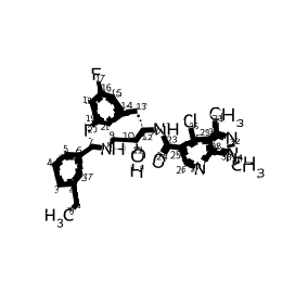 CCc1cccc(CNC[C@@H](O)[C@H](Cc2cc(F)cc(F)c2)NC(=O)c2cnc3c(c(C)nn3C)c2Cl)c1